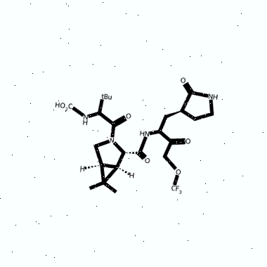 CC(C)(C)C(NC(=O)O)C(=O)N1C[C@H]2[C@@H]([C@H]1C(=O)NC(C[C@@H]1CCNC1=O)C(=O)COC(F)(F)F)C2(C)C